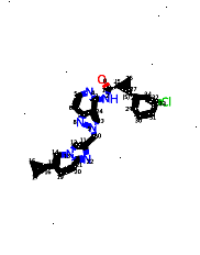 O=C(Nc1nccc2nn(Cc3cn4cc(C5CC5)ccc4n3)cc12)[C@H]1C[C@@H]1c1cccc(Cl)c1